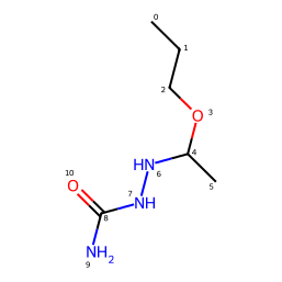 CCCOC(C)NNC(N)=O